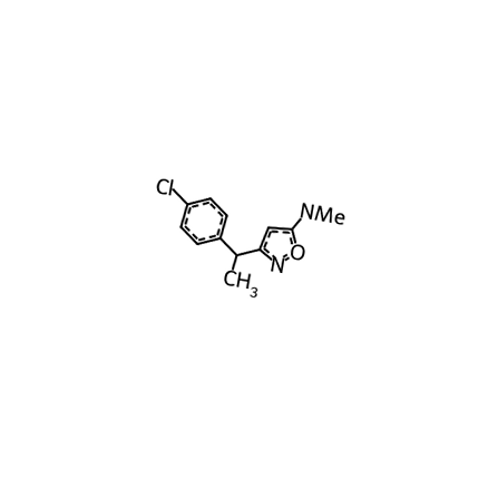 CNc1cc(C(C)c2ccc(Cl)cc2)no1